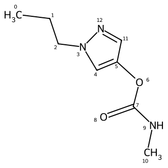 CCCn1cc(OC(=O)NC)cn1